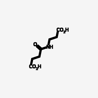 O=C(O)CCNC(=O)CCC(=O)O